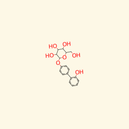 OCC1OC(Oc2ccc(-c3ccccc3O)cc2)C(O)C(O)C1O